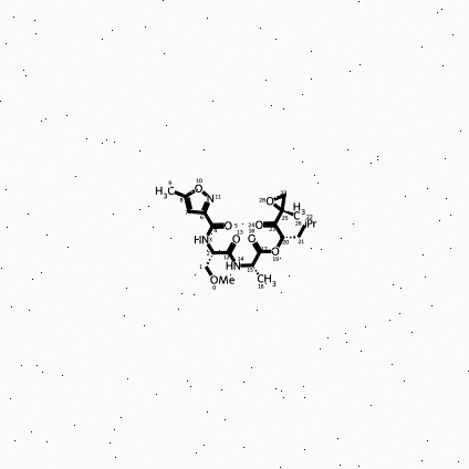 COC[C@H](NC(=O)c1cc(C)on1)C(=O)N[C@@H](C)C(=O)O[C@@H](CC(C)C)C(=O)[C@@]1(C)CO1